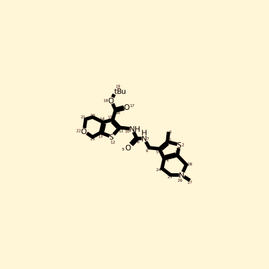 Cc1sc2c(c1CNC(=O)Nc1sc3c(c1C(=O)OC(C)(C)C)CCOC3)CCN(C)C2